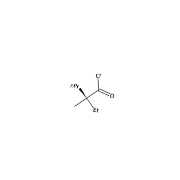 CCC[C@](C)(CC)C(=O)Cl